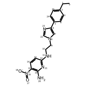 CCc1ccc(-c2[c]n(CCNc3ccc([N+](=O)[O-])c(N)n3)cn2)cc1